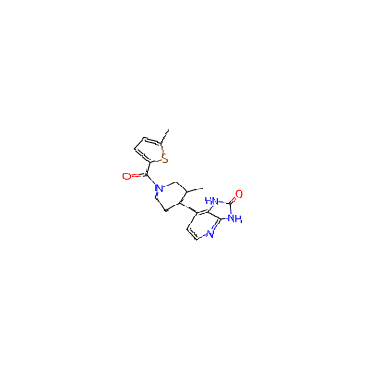 Cc1ccc(C(=O)N2CCC(c3ccnc4[nH]c(=O)[nH]c34)C(C)C2)s1